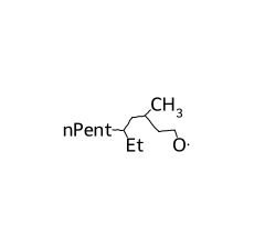 CCCCCC(CC)CC(C)CC[O]